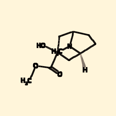 COC(=O)C1(O)CC2CC[C@@H](C1)N2C